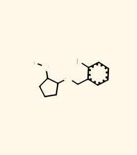 CCOC1CCCC1OCc1ccccc1F